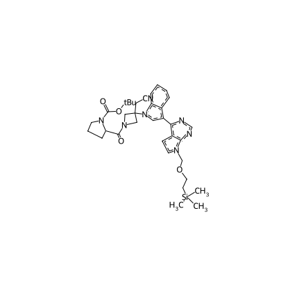 CC(C)(C)OC(=O)N1CCCC1C(=O)N1CC(CC#N)(n2cc(-c3ncnc4c3ccn4COCC[Si](C)(C)C)c3ccccc32)C1